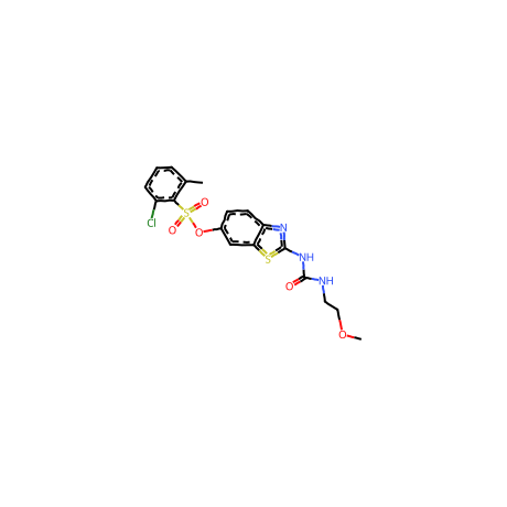 COCCNC(=O)Nc1nc2ccc(OS(=O)(=O)c3c(C)cccc3Cl)cc2s1